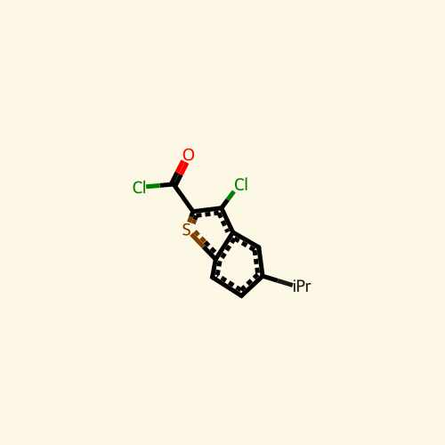 CC(C)c1ccc2sc(C(=O)Cl)c(Cl)c2c1